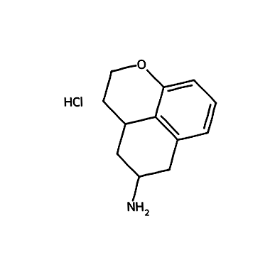 Cl.NC1Cc2cccc3c2C(CCO3)C1